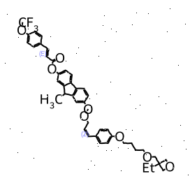 CCC1(COCCCCOc2ccc(/C=C\COOc3ccc4c(c3)C(C)c3cc(OC(=O)/C=C/c5ccc(OC(F)(F)F)cc5)ccc3-4)cc2)COC1